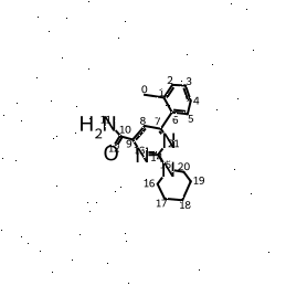 Cc1ccccc1-c1cc(C(N)=O)nc(N2CCCCC2)n1